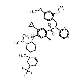 COc1ccc(CN(c2ccncn2)S(=O)(=O)c2cc(C3CC3)c(N[C@H]3CC[C@H](C4(C)C=CC=C(C(F)(F)F)C4)C[C@@H]3N(C)C)cc2F)c(OC)c1